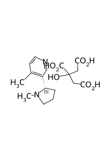 Cc1ccncc1[C@@H]1CCCN1C.O=C(O)CC(O)(CC(=O)O)C(=O)O